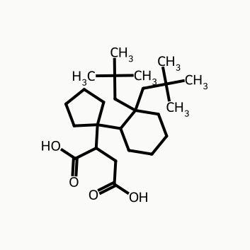 CC(C)(C)CC1(CC(C)(C)C)CCCCC1C1(C(CC(=O)O)C(=O)O)CCCC1